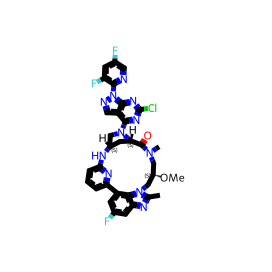 CO[C@H]1CN(C)C(=O)[C@@H]2C[C@@H](CN2c2nc(Cl)nc3c2cnn3-c2ncc(F)cc2F)Nc2cccc(n2)-c2cc(F)cc3nc(C)n(c23)C1